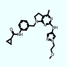 COCCn1cc(Nc2nc(C)c3c(n2)N(Cc2cccc(NC(=O)C4CC4)c2)CC3)cn1